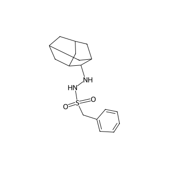 O=S(=O)(Cc1ccccc1)NNC1C2CC3CC(C2)CC1C3